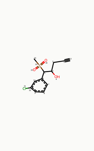 C#CCC(O)C(c1cccc(Cl)c1)S(C)(=O)=O